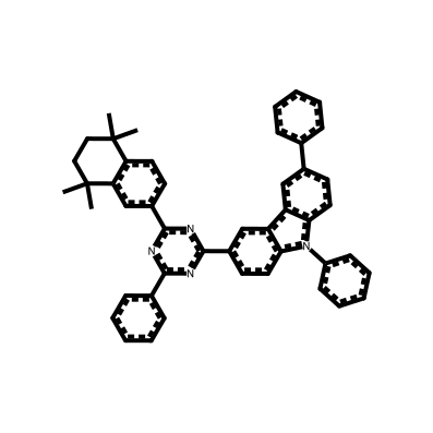 CC1(C)CCC(C)(C)c2cc(-c3nc(-c4ccccc4)nc(-c4ccc5c(c4)c4cc(-c6ccccc6)ccc4n5-c4ccccc4)n3)ccc21